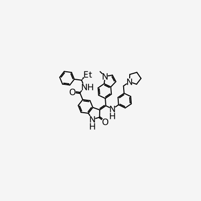 CC[C@@H](NC(=O)c1ccc2c(c1)/C(=C(/Nc1cccc(CN3CCCC3)c1)c1ccc3c(ccn3C)c1)C(=O)N2)c1ccccc1